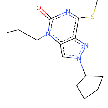 CCCn1c(=O)nc(SC)c2nn(C3CCCC3)cc21